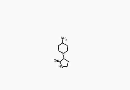 NC1CCN(C2CCNC2=O)CC1